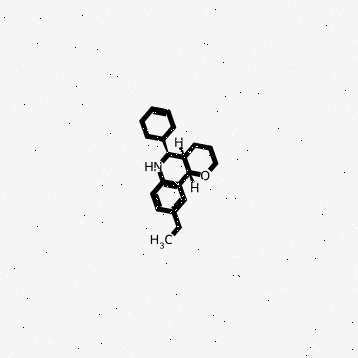 CCc1ccc2c(c1)[C@H]1OCCC[C@H]1[C@H](C1CC=CCC1)N2